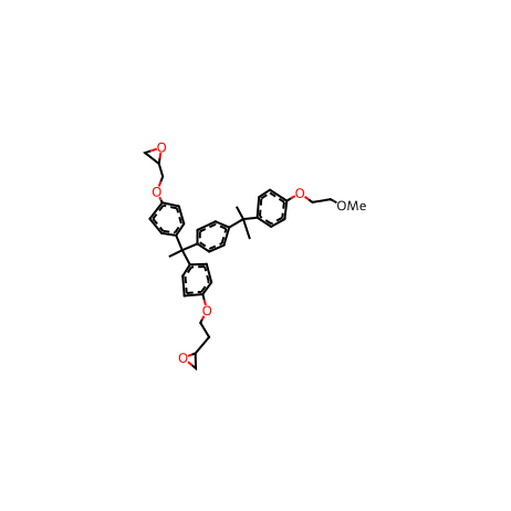 COCCOc1ccc(C(C)(C)c2ccc(C(C)(c3ccc(OCCC4CO4)cc3)c3ccc(OCC4CO4)cc3)cc2)cc1